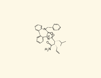 C=CC[C@H](C(N)=O)[C@@H](CC(C)C)C(=O)NC1C(=O)N(Cc2ccccc2)c2ccccc2-c2ccccc21